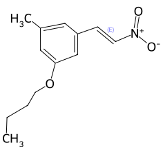 CCCCOc1cc(C)cc(/C=C/[N+](=O)[O-])c1